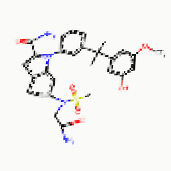 CC(C)(c1cc(O)cc(OC(F)(F)F)c1)c1cccc(-n2c(C(N)=O)cc3ccc(N(CC(N)=O)S(C)(=O)=O)cc32)c1